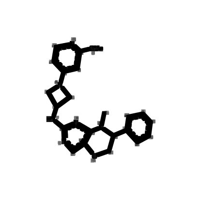 COc1cc(N2CC(Nc3ncc4c(n3)N(C)C(c3ccccc3)CO4)C2)ccn1